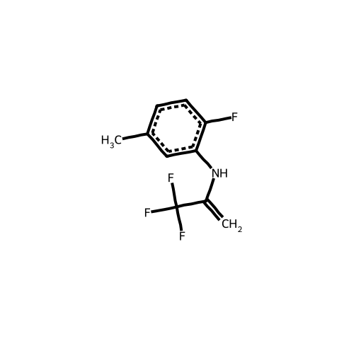 C=C(Nc1cc(C)ccc1F)C(F)(F)F